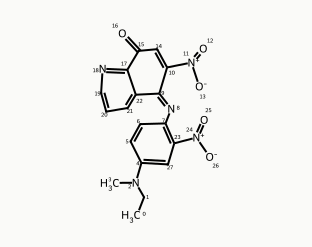 CCN(C)c1ccc(N=C2C([N+](=O)[O-])=CC(=O)c3ncccc32)c([N+](=O)[O-])c1